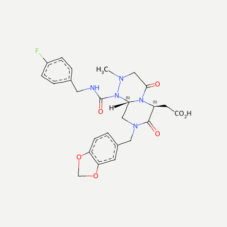 CN1CC(=O)N2[C@@H](CC(=O)O)C(=O)N(Cc3ccc4c(c3)OCO4)C[C@@H]2N1C(=O)NCc1ccc(F)cc1